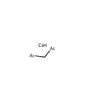 CC(=O)CC(C)=O.[CsH]